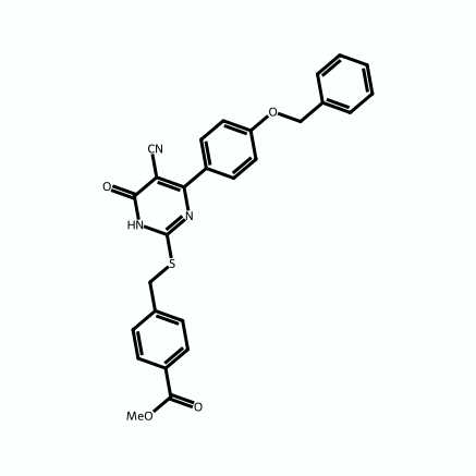 COC(=O)c1ccc(CSc2nc(-c3ccc(OCc4ccccc4)cc3)c(C#N)c(=O)[nH]2)cc1